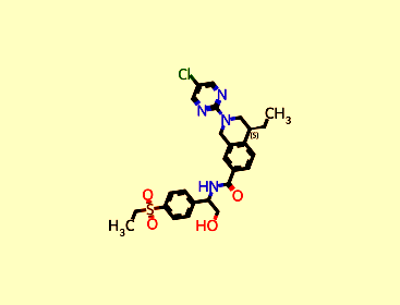 CC[C@@H]1CN(c2ncc(Cl)cn2)Cc2cc(C(=O)NC(CO)c3ccc(S(=O)(=O)CC)cc3)ccc21